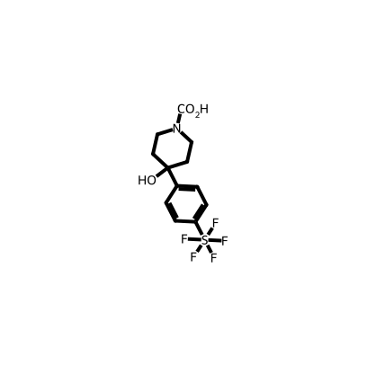 O=C(O)N1CCC(O)(c2ccc(S(F)(F)(F)(F)F)cc2)CC1